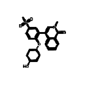 Cn1cc(-c2cc(S(C)(=O)=O)ccc2O[C@H]2CC[C@H](O)CC2)c2ccccc2c1=O